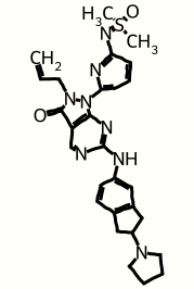 C=CCn1c(=O)c2cnc(Nc3ccc4c(c3)CC(N3CCCC3)C4)nc2n1-c1cccc(N=S(C)(C)=O)n1